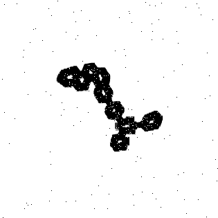 c1ccc(-c2nc(-c3ccc(-c4ccc5c(ccc6ccc7c8ccccc8ccc7c65)c4)cc3)nc(-c3ccccn3)n2)cc1